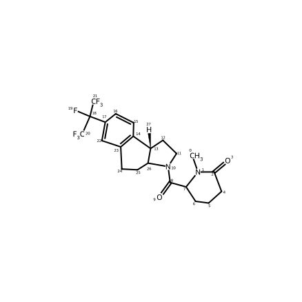 CN1C(=O)CCCC1C(=O)N1CC[C@H]2c3ccc(C(F)(C(F)(F)F)C(F)(F)F)cc3CCC21